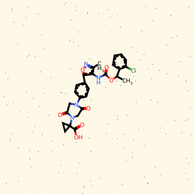 Cc1noc(-c2ccc(N3CC(=O)N(C4(C(=O)O)CC4)CC3=O)cc2)c1NC(=O)OC(C)c1ccccc1Cl